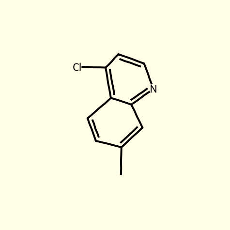 Cc1ccc2c(Cl)ccnc2c1